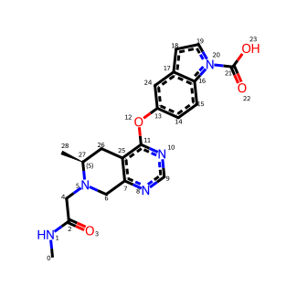 CNC(=O)CN1Cc2ncnc(Oc3ccc4c(ccn4C(=O)O)c3)c2C[C@@H]1C